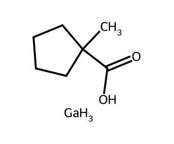 CC1(C(=O)O)CCCC1.[GaH3]